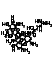 N=C(N)NCC[C@H](O)C(=O)N[C@@H]1C[C@H](N)[C@@H](O[C@H]2O[C@H](CN)[C@@H](O)C[C@H]2N)[C@H](O[C@@H]2O[C@H](CO)[C@@H](O[C@H]3O[C@@H](CN)[C@@H](O)[C@H](O)[C@H]3N)[C@H]2O)[C@H]1O